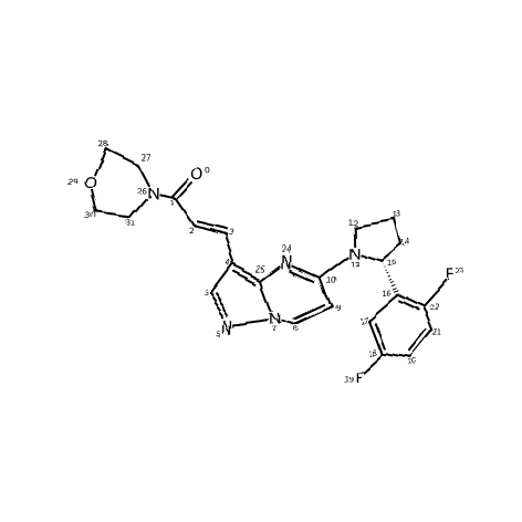 O=C(/C=C/c1cnn2ccc(N3CCC[C@@H]3c3cc(F)ccc3F)nc12)N1CCOCC1